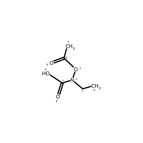 CCN(OC(C)=O)C(=O)O